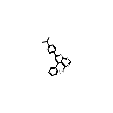 CN(C)c1ccc(-c2cc(-c3ccccc3)c3c(N)ncnc3n2)cn1